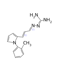 Cc1ccccc1-n1cccc1/C=C/C=N/N=C(N)N